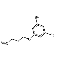 CCc1cc(OCCCOC)cc(C(C)C)c1